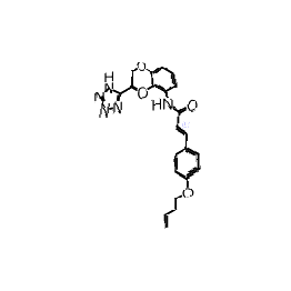 C=CCCOc1ccc(/C=C/C(=O)Nc2cccc3c2OC(c2nnn[nH]2)CO3)cc1